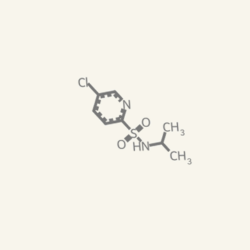 CC(C)NS(=O)(=O)c1ccc(Cl)cn1